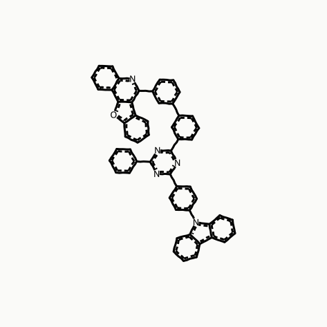 c1ccc(-c2nc(-c3ccc(-n4c5ccccc5c5ccccc54)cc3)nc(-c3cccc(-c4cccc(-c5nc6ccccc6c6oc7ccccc7c56)c4)c3)n2)cc1